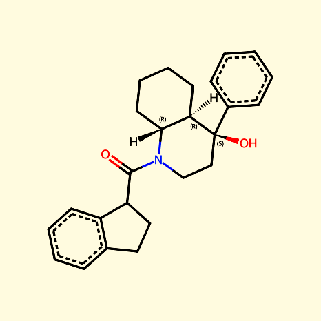 O=C(C1CCc2ccccc21)N1CC[C@@](O)(c2ccccc2)[C@@H]2CCCC[C@H]21